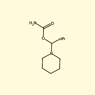 CCCC(OC(N)=O)N1CCCCC1